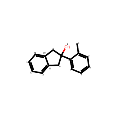 Cc1ccccc1C1(O)Cc2ccccc2C1